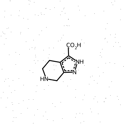 O=C(O)c1[nH]nc2c1CCNC2